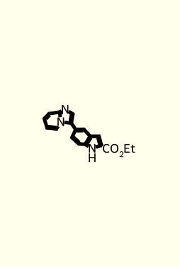 CCOC(=O)c1cc2cc(-c3cnc4ccccn34)ccc2[nH]1